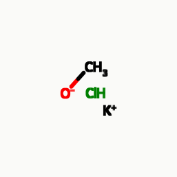 C[O-].Cl.[K+]